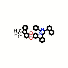 CC1(C)c2ccccc2-c2c1ccc1c2Oc2ccc(-c3ccccc3-c3cc(-c4cccc5ccccc45)nc(-c4ccccc4)n3)cc2O1